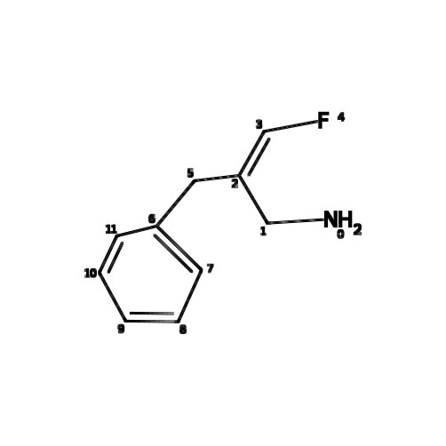 NC/C(=C\F)Cc1ccccc1